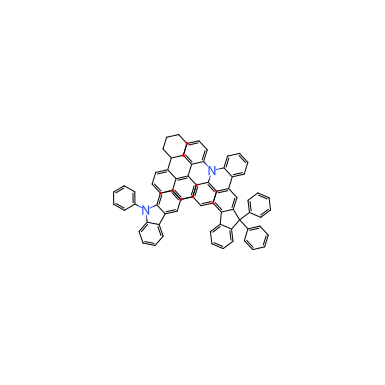 c1ccc(-n2c3ccccc3c3cc(-c4cccc(N(c5ccccc5-c5ccc6c(c5)C(c5ccccc5)(c5ccccc5)c5ccccc5-6)c5ccccc5-c5cccc6cccc(C7CCCCC7)c56)c4)ccc32)cc1